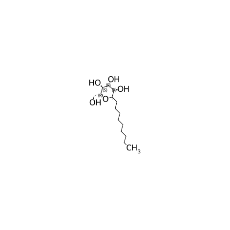 CCCCCCCCC[C]1O[C@H](CO)[C@@H](O)[C@H](O)[C@H]1O